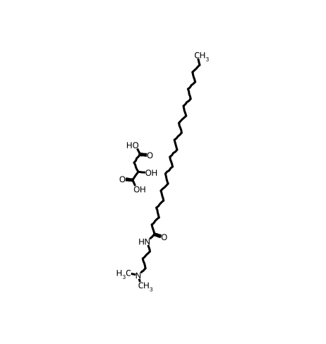 CCCCCCCCCCCCCCCCCCCCCC(=O)NCCCN(C)C.O=C(O)CC(O)C(=O)O